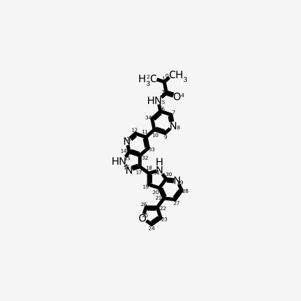 CC(C)C(=O)Nc1cncc(-c2cnc3[nH]nc(-c4cc5c(-c6ccoc6)ccnc5[nH]4)c3c2)c1